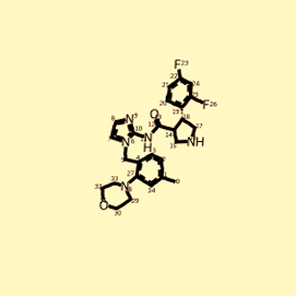 Cc1ccc(Cn2ccnc2NC(=O)C2CNC[C@H]2c2ccc(F)cc2F)c(N2CCOCC2)c1